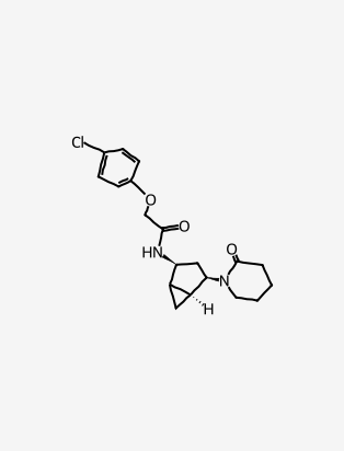 O=C(COc1ccc(Cl)cc1)N[C@H]1C[C@@H](N2CCCCC2=O)[C@H]2CC12